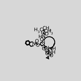 CC(C)(C)OC(=O)N[C@H]1CCCCC/C=C\[C@@H]2C[C@@]2(C(=O)NS(=O)(=O)C2CC2)NC(=O)C2C[C@@H](OC(=O)N3CCc4ccccc4C3)CN2C1=O